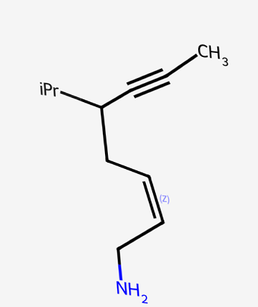 CC#CC(C/C=C\CN)C(C)C